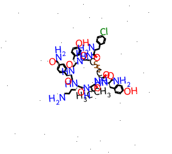 CC(C)C1NC(=O)[C@H](CCCCN)NC(=O)[C@@H](Cc2ccc(C(N)=O)cc2)NC(=O)[C@H](Cc2ccc(O)cc2)NC(=O)[C@H](NC(=O)[C@@H](N)Cc2ccc(Cl)cc2)CSSC[C@@H](C(=O)N[C@H](Cc2ccc(O)cc2)C(N)=O)NC1=O